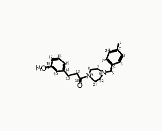 Cc1ccc(CN2CCN(C(=O)CCc3cccc(O)c3)CC2)cc1